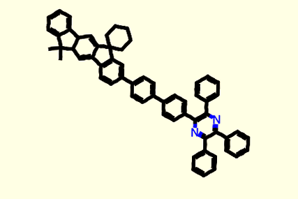 CC1(C)c2ccccc2C2C=C3C(=CC21)c1ccc(-c2ccc(-c4ccc(-c5nc(-c6ccccc6)c(-c6ccccc6)nc5-c5ccccc5)cc4)cc2)cc1C31CCCCC1